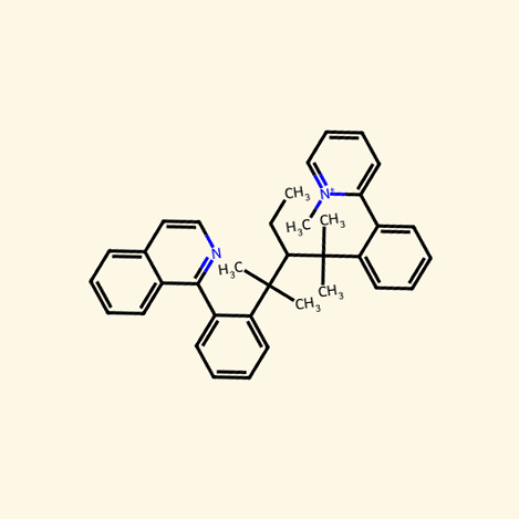 CCC(C(C)(C)c1ccccc1-c1nccc2ccccc12)C(C)(C)c1ccccc1-c1cccc[n+]1C